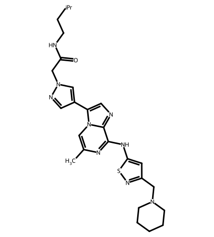 Cc1cn2c(-c3cnn(CC(=O)NCCC(C)C)c3)cnc2c(Nc2cc(CN3CCCCC3)ns2)n1